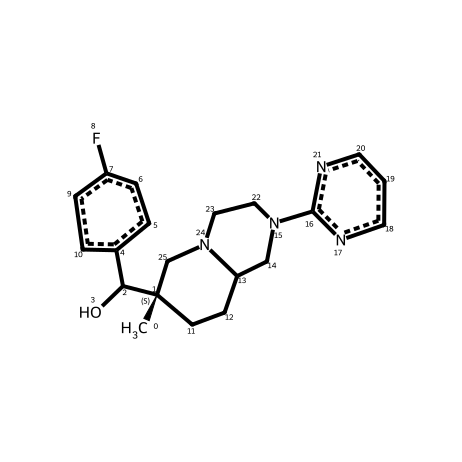 C[C@]1(C(O)c2ccc(F)cc2)CCC2CN(c3ncccn3)CCN2C1